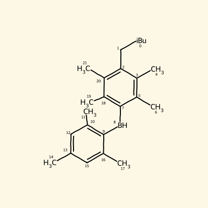 CCC(C)Cc1c(C)c(C)c(Bc2c(C)cc(C)cc2C)c(C)c1C